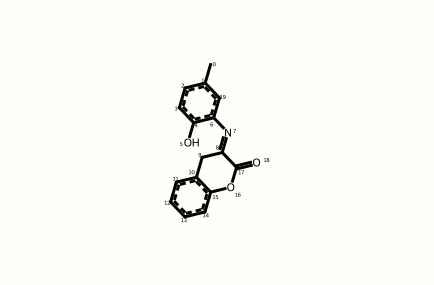 Cc1ccc(O)c(N=C2Cc3ccccc3OC2=O)c1